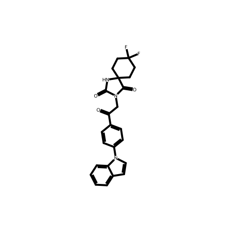 O=C(CN1C(=O)NC2(CCC(F)(F)CC2)C1=O)c1ccc(-n2ccc3ccccc32)cc1